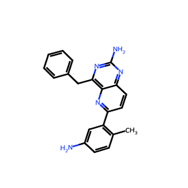 Cc1ccc(N)cc1-c1ccc2nc(N)nc(Cc3ccccc3)c2n1